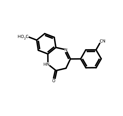 N#Cc1cccc(C2=Nc3ccc(C(=O)O)cc3NC(=O)C2)c1